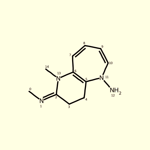 C/N=C1/CCC2=C(C=CC=CN2N)N1C